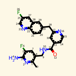 Cc1nc(N)c(F)cc1CNC(=O)c1ccnc(Cc2ccc3ncc(F)cc3c2)c1